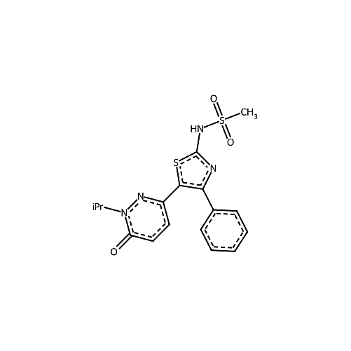 CC(C)n1nc(-c2sc(NS(C)(=O)=O)nc2-c2ccccc2)ccc1=O